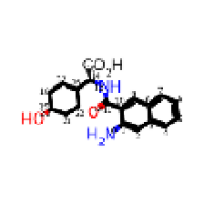 Nc1cc2ccccc2cc1C(=O)N[C@H](C(=O)O)C1CCC(O)CC1